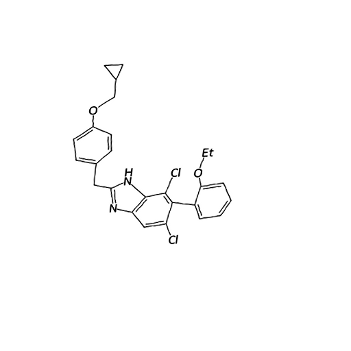 CCOc1ccccc1-c1c(Cl)cc2nc(Cc3ccc(OCC4CC4)cc3)[nH]c2c1Cl